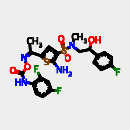 CC(=NOC(=O)Nc1ccc(F)cc1F)c1cc(S(=O)(=O)N(C)CC(O)c2ccc(F)cc2)c(N)s1